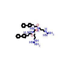 N=C(N)NCCCCNC(=O)[C@H](Cc1ccc(-c2ccccc2)cc1)NC(=O)[C@H](CCCCNC(=N)N)NC(=O)[C@@H](N)Cc1ccc(-c2ccccc2)cc1